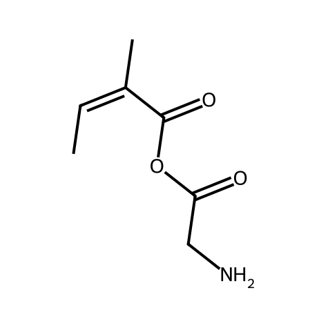 CC=C(C)C(=O)OC(=O)CN